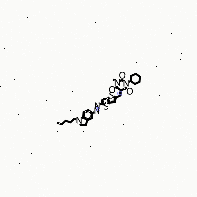 CCCCCN1CCc2cc(/N=N/c3cc4sc(/C=C5\C(=O)N(C)C(=O)N(C6CCCCC6)C5=O)cc4s3)ccc21